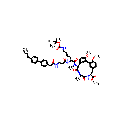 CCCCc1ccc(-c2ccc(CC(=O)NCCC(=O)N[C@@H](CCCCNC(=O)OC(C)(C)C)C(=O)N(C)[C@@H]3C(=O)N[C@@H](C)C(=O)N[C@H](C(=O)OC)Cc4ccc(OC)c(c4)-c4cc3ccc4OC)cc2)cc1